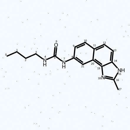 CCCCNC(=O)Nc1ccc2ccc3[nH]c(C)nc3c2c1